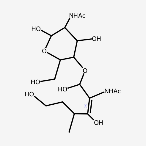 CC(=O)N/C(=C(\O)C(C)CCO)C(O)OC1C(CO)OC(O)C(NC(C)=O)C1O